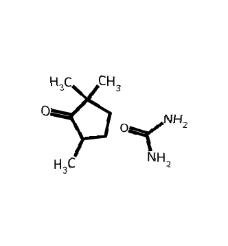 CC1CCC(C)(C)C1=O.NC(N)=O